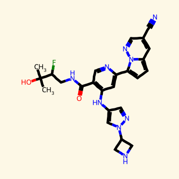 CC(C)(O)C(F)CNC(=O)c1cnc(-c2ccc3cc(C#N)cnn23)cc1Nc1cnn(C2CNC2)c1